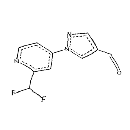 O=Cc1cnn(-c2ccnc(C(F)F)c2)c1